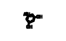 Oc1cccc(O)c1.[AlH3]